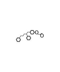 c1ccc(CCCC(Cc2ccc(OCC3CO3)cc2)c2ccccc2)cc1